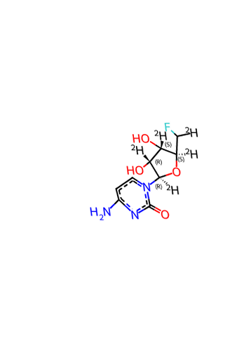 [2H]C(F)[C@@]1([2H])O[C@@]([2H])(n2ccc(N)nc2=O)[C@]([2H])(O)[C@]1([2H])O